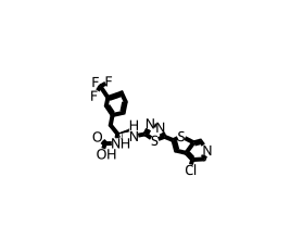 O=C(O)N[C@H](CNc1nnc(-c2cc3c(Cl)cncc3s2)s1)Cc1cccc(C(F)(F)F)c1